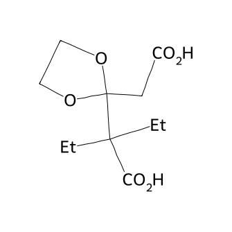 CCC(CC)(C(=O)O)C1(CC(=O)O)OCCO1